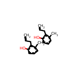 C=CCc1c(C)cccc1O.C=CCc1c(C)cccc1O